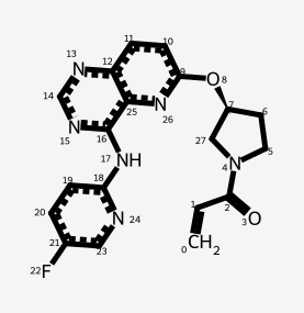 C=CC(=O)N1CC[C@H](Oc2ccc3ncnc(Nc4ccc(F)cn4)c3n2)C1